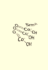 [O]=[Co-][OH].[O]=[Co-][OH].[O]=[Co-][OH].[Sm+3]